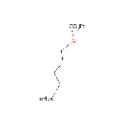 C[CH]OC(=O)OCCCCCCCCCC